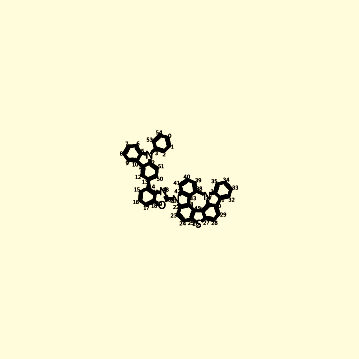 c1ccc(-n2c3ccccc3c3cc(-c4cccc5oc(-n6c7ccc8sc9ccc%10c%11ccccc%11n%11c%12cccc6c%12c7c8c9c%10%11)nc45)ccc32)cc1